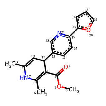 COC(=O)C1=C(C)NC(C)=CC1c1ccc(-c2ccco2)nc1